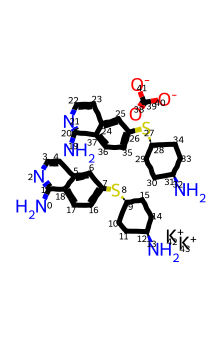 Nc1nccc2cc(S[C@H]3CC[C@H](N)CC3)ccc12.Nc1nccc2cc(S[C@H]3CC[C@H](N)CC3)ccc12.O=C([O-])[O-].[K+].[K+]